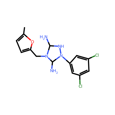 Cc1ccc(CN2C(N)NN(c3cc(Cl)cc(Cl)c3)C2N)o1